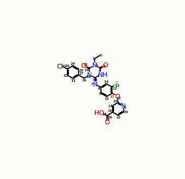 CCn1c(=O)[nH]/c(=N\c2ccc(Oc3cc(C(=O)O)ccn3)c(F)c2)n(Cc2ccc(Cl)cc2)c1=O